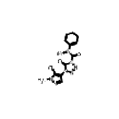 CC(C)N(C(=O)n1nnn(-c2cnn(C)c2Cl)c1=O)C1=CCCCC1